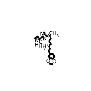 CN(CCCNCCc1ccc2c(c1)OCCO2)c1nc(C2(C)C=CN2)ns1